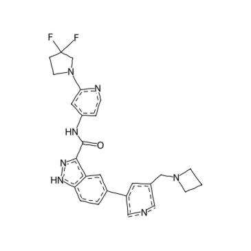 O=C(Nc1ccnc(N2CCC(F)(F)C2)c1)c1n[nH]c2ccc(-c3cncc(CN4CCC4)c3)cc12